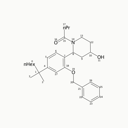 CCCCCCC(C)(C)c1ccc(C2CC(O)CCN2C(=O)CCC)c(OCc2ccccc2)c1